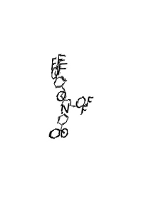 COC(=O)c1ccc(N2C[C@@H](OCc3ccc(OC(F)(F)F)cc3)C[C@H]2COC(F)F)cc1